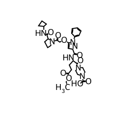 CCOC(=O)CCC(NC(=O)c1cc(OCC(=O)N2CCCC2C(=O)NC2CCC2)n(-c2ccccc2)n1)C(=O)N1CCN(C(=O)O)CC1